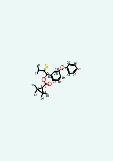 CC(C)C(=S)C(OC(=O)C1C(C)(C)C1(C)C)c1cccc(Oc2ccccc2)c1